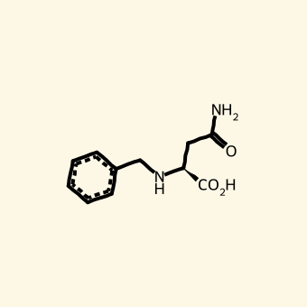 NC(=O)C[C@H](NCc1ccccc1)C(=O)O